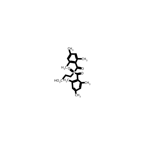 Cc1cc(C)c(C(=O)P(=O)(CCC(=O)O)C(=O)c2c(C)cc(C)cc2C)c(C)c1